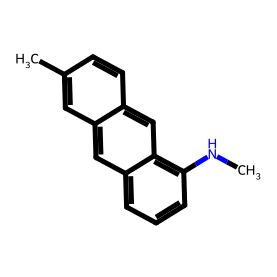 CNc1cccc2cc3cc(C)ccc3cc12